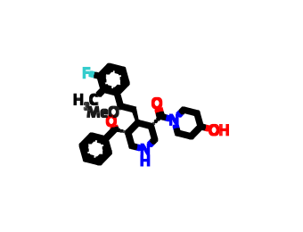 COC(C[C@@H]1[C@@H](C(=O)c2ccccc2)CNC[C@H]1C(=O)N1CCC(O)CC1)c1cccc(F)c1C